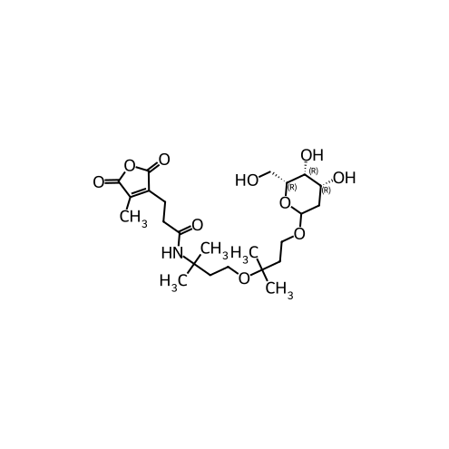 CC1=C(CCC(=O)NC(C)(C)CCOC(C)(C)CCOC2C[C@@H](O)[C@@H](O)[C@@H](CO)O2)C(=O)OC1=O